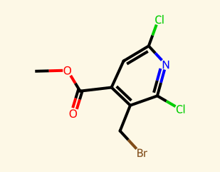 COC(=O)c1cc(Cl)nc(Cl)c1CBr